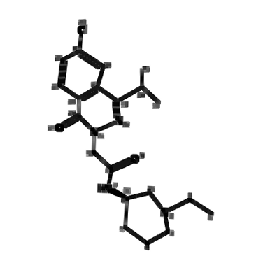 CCN1CCC[C@@H](NC(=O)Cn2nc(C(C)C)c3cc(Cl)ccc3c2=O)C1